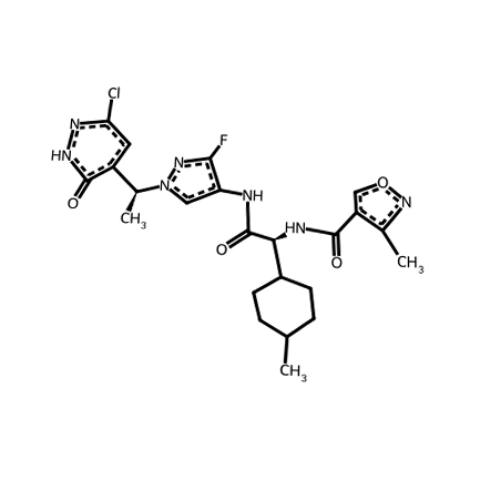 Cc1nocc1C(=O)N[C@H](C(=O)Nc1cn([C@@H](C)c2cc(Cl)n[nH]c2=O)nc1F)C1CCC(C)CC1